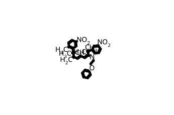 C=C(/C=C/C=C1/N(CCOc2ccccc2)c2ccc([N+](=O)[O-])cc2C1(C)C)C(C)(C)c1cc([N+](=O)[O-])ccc1C